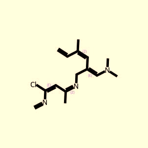 C=C/C(C)=C\C(=C/N(C)C)C/N=C(C)\C=C(\Cl)N=C